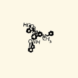 CN(CCc1ccccc1)c1ccc2c(c1)C1=CC(NC(=O)c3ccc4ccccc4n3)=CC=CC1O2.O=C(O)c1ccccc1C(=O)O